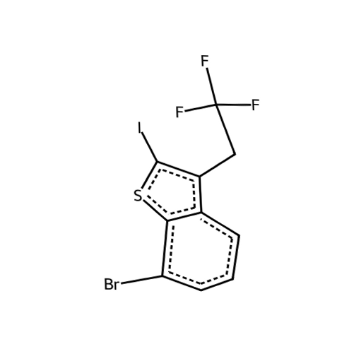 FC(F)(F)Cc1c(I)sc2c(Br)cccc12